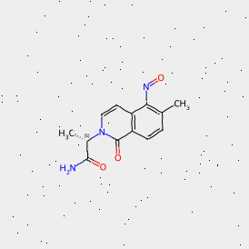 Cc1ccc2c(=O)n([C@@H](C)C(N)=O)ccc2c1N=O